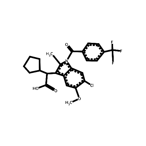 COc1cc2c(C(C(=O)O)C3CCCC3)c(C)n(C(=O)c3ccc(C(F)(F)F)cc3)c2cc1Cl